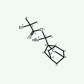 CCCCC(C)(OC(=O)C(C)(C)CC)C12CC3CC(CC1C3)C2